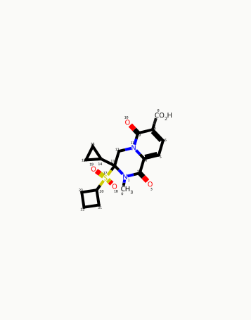 CN1C(=O)c2ccc(C(=O)O)c(=O)n2CC1(C1CC1)S(=O)(=O)C1CCC1